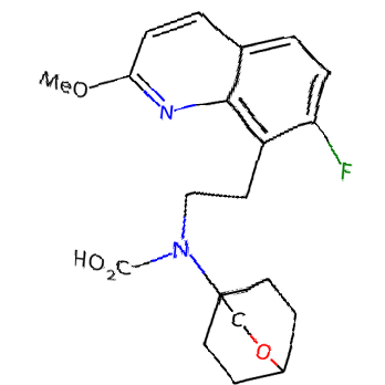 COc1ccc2ccc(F)c(CCN(C(=O)O)C34CCC(CC3)OC4)c2n1